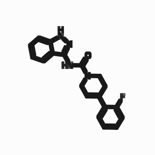 O=C(Nc1n[nH]c2ccccc12)N1CC=C(c2ccccc2F)CC1